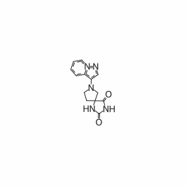 O=C1NC(=O)C2(CCN(c3cnn4ccccc34)C2)N1